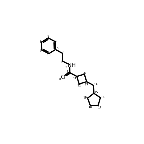 O=C(NCCc1ccccc1)C1CC(CC2CCCC2)C1